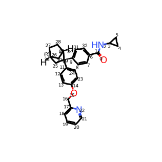 O=C(NC1CC1)c1ccc([C@@]2(c3ccc(OCc4ccccn4)cc3)C[C@@H]3CC[C@H]2C3)cc1